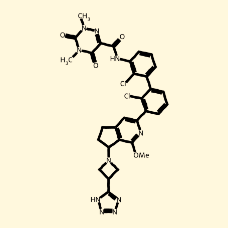 COc1nc(-c2cccc(-c3cccc(NC(=O)c4nn(C)c(=O)n(C)c4=O)c3Cl)c2Cl)cc2c1C(N1CC(c3nnn[nH]3)C1)CC2